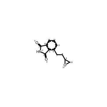 O=C1NC(=O)c2c(CCC3CO3)cccc21